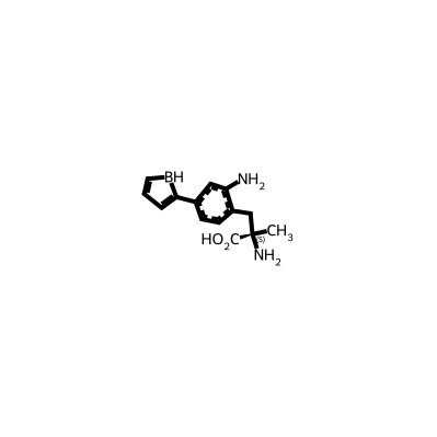 C[C@](N)(Cc1ccc(C2=CC=CB2)cc1N)C(=O)O